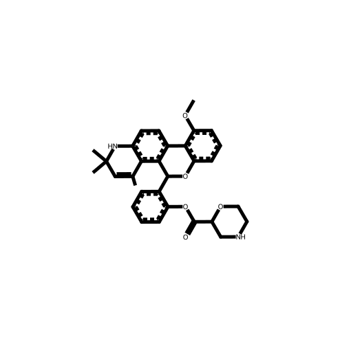 COc1cccc2c1-c1ccc3c(c1C(c1ccccc1OC(=O)C1CNCCO1)O2)C(C)=CC(C)(C)N3